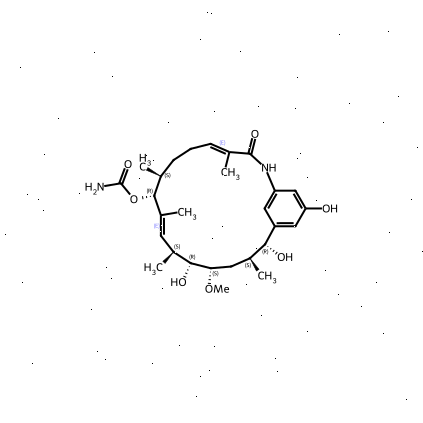 CO[C@H]1C[C@H](C)[C@@H](O)c2cc(O)cc(c2)NC(=O)/C(C)=C/CC[C@H](C)[C@@H](OC(N)=O)/C(C)=C/[C@H](C)[C@H]1O